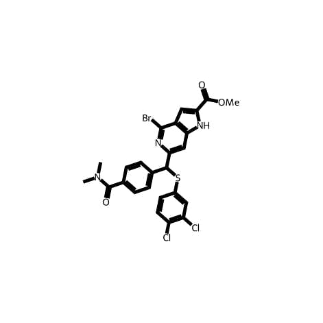 COC(=O)c1cc2c(Br)nc(C(Sc3ccc(Cl)c(Cl)c3)c3ccc(C(=O)N(C)C)cc3)cc2[nH]1